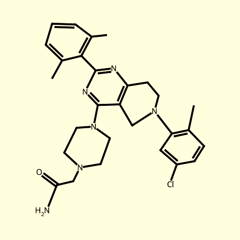 Cc1ccc(Cl)cc1N1CCc2nc(-c3c(C)cccc3C)nc(N3CCN(CC(N)=O)CC3)c2C1